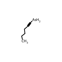 CCCCC#C[AsH2]